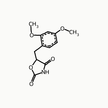 COc1ccc(CC2OC(=O)NC2=O)c(OC)c1